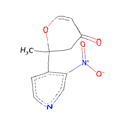 CC1(c2ccncc2[N+](=O)[O-])CC(=O)C=CO1